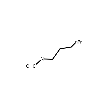 CCCCCC[N]C=O